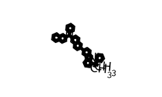 CC1(C)c2ccccc2-n2c3ccc(-c4ccc5cc(N(c6ccccc6)c6ccc7ccccc7c6)ccc5c4)cc3c3cccc1c32